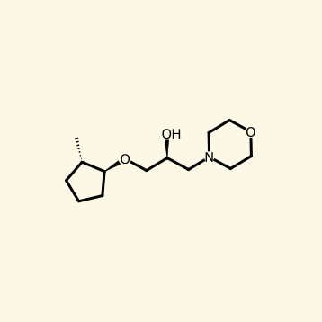 C[C@H]1CCC[C@@H]1OC[C@@H](O)CN1CCOCC1